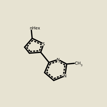 CCCCCCc1ccc(-c2ccnc(C)n2)s1